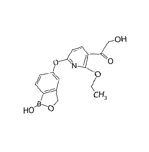 CCOc1nc(Oc2ccc3c(c2)COB3O)ccc1C(=O)CO